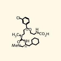 CNC[C@H](CC1CCCCC1)NC(=O)N(C)CC[C@H](OCCNC(=O)O)c1cccc(Cl)c1